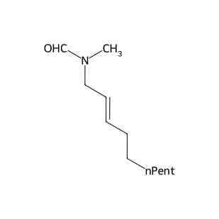 CCCCCCC/C=C/CN(C)C=O